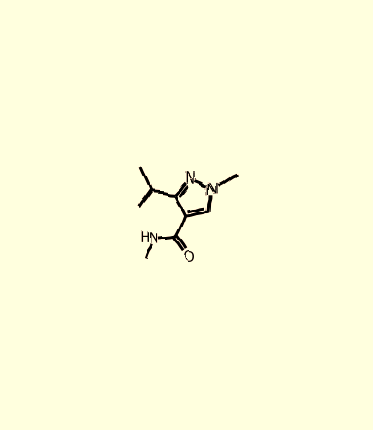 CNC(=O)c1cn(C)nc1C(C)C